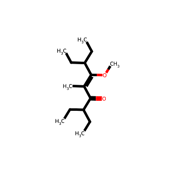 CCC(CC)C(=O)/C(C)=C(\OC)C(CC)CC